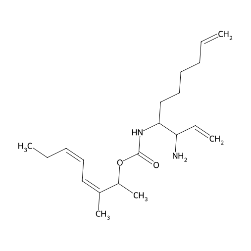 C=CCCCCC(NC(=O)OC(C)/C(C)=C\C=C/CC)C(N)C=C